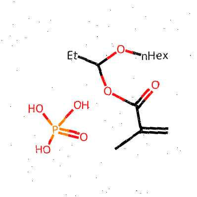 C=C(C)C(=O)OC(CC)OCCCCCC.O=P(O)(O)O